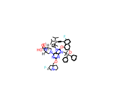 CO[C@@H]1C[C@H]2CN(c3nc(OC[C@@]45CCCN4C[C@H](F)C5)nc4nc(Oc5cc(O[Si](c6ccccc6)(c6ccccc6)C(C)(C)C)cc6ccc(F)c(C#C[Si](C(C)C)(C(C)C)C(C)C)c56)n(C5CCC5)c34)C[C@@H]1N2C(=O)O